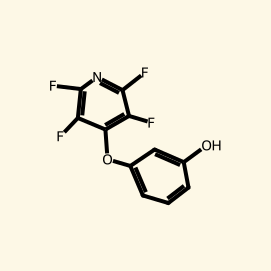 Oc1cccc(Oc2c(F)c(F)nc(F)c2F)c1